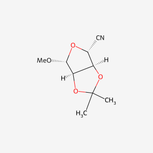 CO[C@@H]1O[C@H](C#N)[C@H]2OC(C)(C)O[C@@H]12